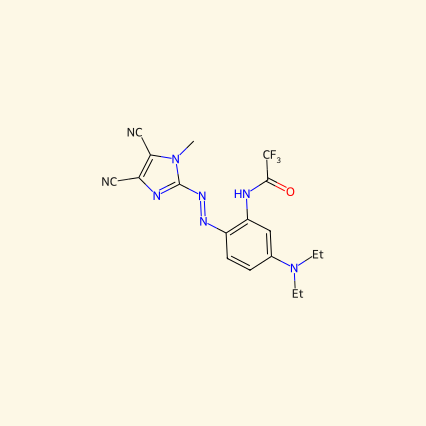 CCN(CC)c1ccc(N=Nc2nc(C#N)c(C#N)n2C)c(NC(=O)C(F)(F)F)c1